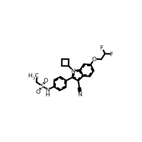 CCS(=O)(=O)Nc1ccc(-c2c(C#N)c3ccc(OCC(F)F)cc3n2C2CCC2)cc1